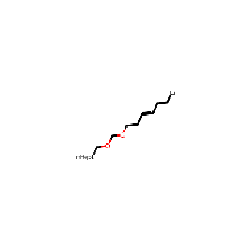 [Li][CH2]CC=CCCOCOCCCCCCCC